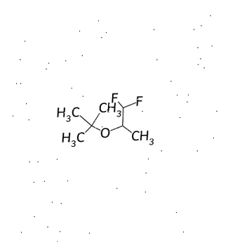 CC(OC(C)(C)C)C(F)F